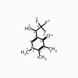 Cc1c(C)n(C)cc(C(O)C(F)(F)F)c1=O